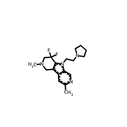 Cc1cc2c3c(n(CCN4CCCC4)c2cn1)C(F)(F)CN(C)C3